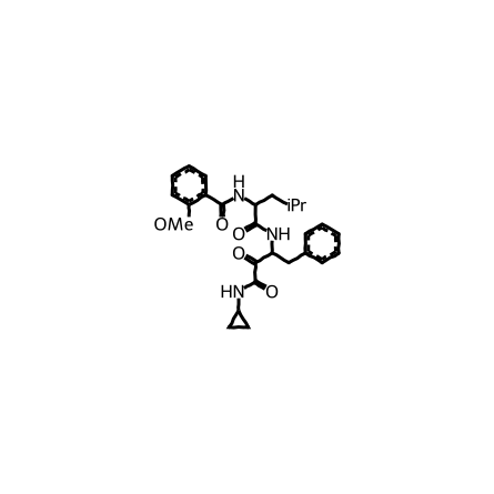 COc1ccccc1C(=O)NC(CC(C)C)C(=O)NC(Cc1ccccc1)C(=O)C(=O)NC1CC1